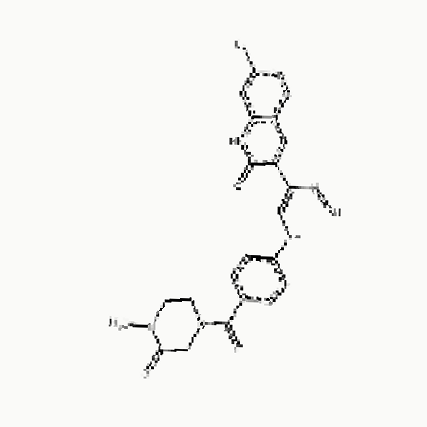 CN1CCN(C(=O)c2ccc(N/C=C(\N=N)c3cc4ccc(Cl)cc4[nH]c3=O)cc2)CC1=O